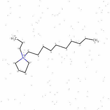 CCCCCCCCCC[N+]1(CCC)CCCC1